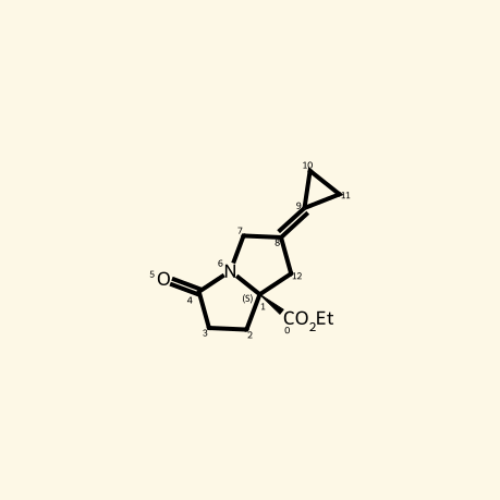 CCOC(=O)[C@@]12CCC(=O)N1CC(=C1CC1)C2